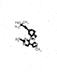 Cn1cc(-c2cnc(N)nc2-n2ncc3ccc(C#CC(C)(C)O)cc32)cn1